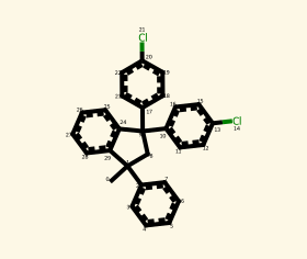 CC1(c2ccccc2)CC(c2ccc(Cl)cc2)(c2ccc(Cl)cc2)c2ccccc21